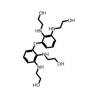 OCCNc1cccc(Oc2cccc(NCCO)c2NCCO)c1NCCO